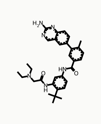 CCN(CC)CC(=O)Nc1cc(NC(=O)c2ccc(C)c(-c3ccc4nc(N)ncc4c3)c2)ccc1C(C)(C)C